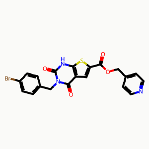 O=C(OCc1ccncc1)c1cc2c(=O)n(Cc3ccc(Br)cc3)c(=O)[nH]c2s1